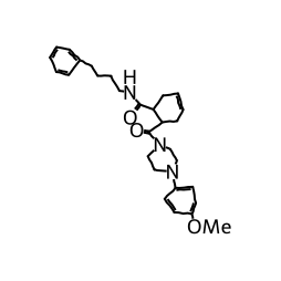 COc1ccc(N2CCN(C(=O)C3CC=CCC3C(=O)NCCCCc3ccccc3)CC2)cc1